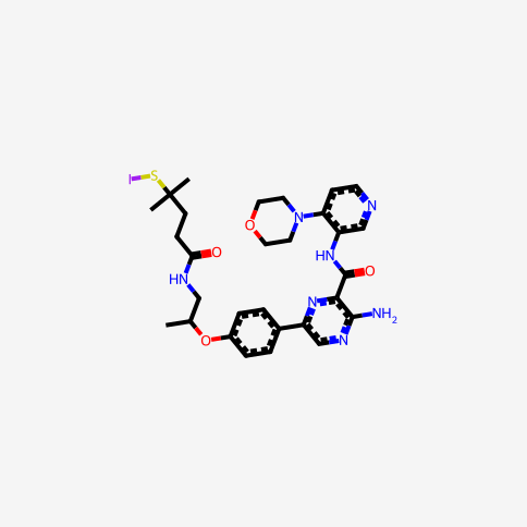 CC(CNC(=O)CCC(C)(C)SI)Oc1ccc(-c2cnc(N)c(C(=O)Nc3cnccc3N3CCOCC3)n2)cc1